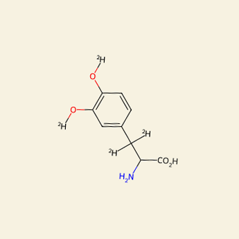 [2H]Oc1ccc(C([2H])([2H])C(N)C(=O)O)cc1O[2H]